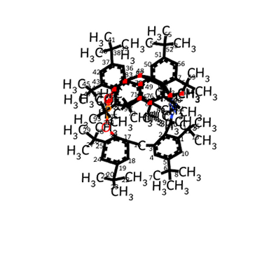 CC1c2c(cc(C(C)(C)C)cc2C(C)(C)C)Cc2cc(C(C)(C)C)cc(C(C)(C)C)c2OP2Oc3c(cc(C(C)(C)C)cc3C(C)(C)C)Cc3cc(C(C)(C)C)cc(C(C)(C)C)c3C(C)N1C(C)c1c(cc(C(C)(C)C)cc1C(C)(C)C)Cc1cc(C(C)(C)C)cc(C(C)(C)C)c1O2